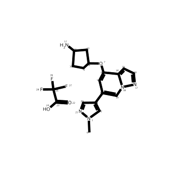 Cn1cc(-c2cc(OC3CCC(N)C3)c3ccnn3c2)cn1.O=C(O)C(F)(F)F